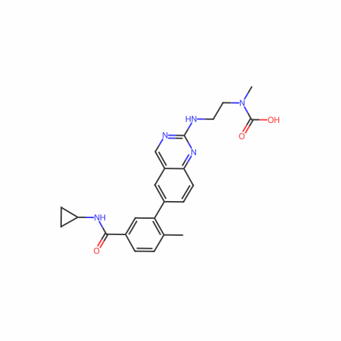 Cc1ccc(C(=O)NC2CC2)cc1-c1ccc2nc(NCCN(C)C(=O)O)ncc2c1